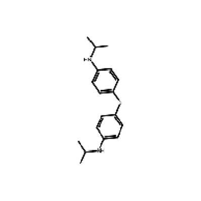 CC(C)Nc1ccc(Sc2ccc(NC(C)C)cc2)cc1